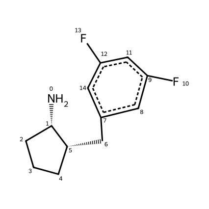 N[C@H]1CCC[C@H]1Cc1cc(F)cc(F)c1